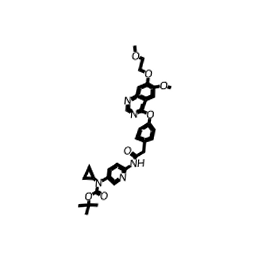 COCCOc1cc2ncnc(Oc3ccc(CC(=O)Nc4ccc(N(C(=O)OC(C)(C)C)C5CC5)cn4)cc3)c2cc1OC